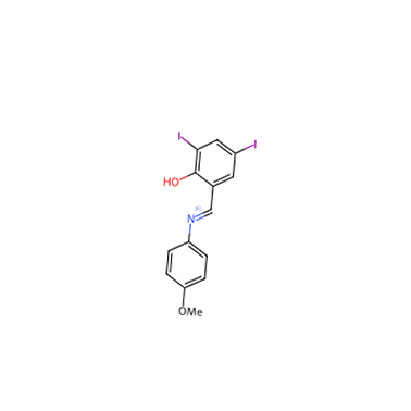 COc1ccc(/N=C/c2cc(I)cc(I)c2O)cc1